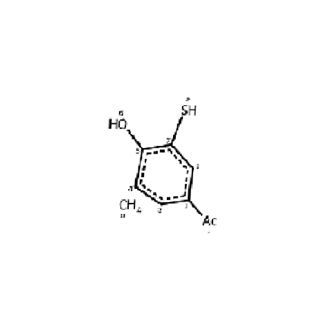 C.CC(=O)c1ccc(O)c(S)c1